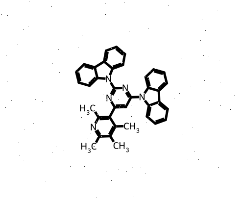 Cc1nc(C)c(-c2cc(-n3c4ccccc4c4ccccc43)nc(-n3c4ccccc4c4ccccc43)n2)c(C)c1C